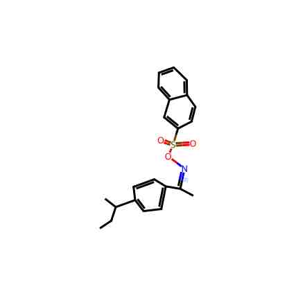 CCC(C)c1ccc(/C(C)=N\OS(=O)(=O)c2ccc3ccccc3c2)cc1